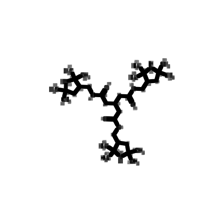 CC1(C)CC(COC(=O)CC(CC(=O)OCC2CC(C)(C)NC2(C)C)CC(=O)OCC2CC(C)(C)NC2(C)C)C(C)(C)N1